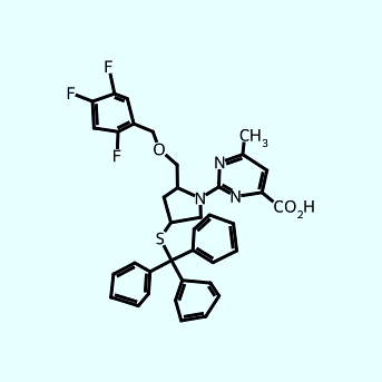 Cc1cc(C(=O)O)nc(N2CC(SC(c3ccccc3)(c3ccccc3)c3ccccc3)CC2COCc2cc(F)c(F)cc2F)n1